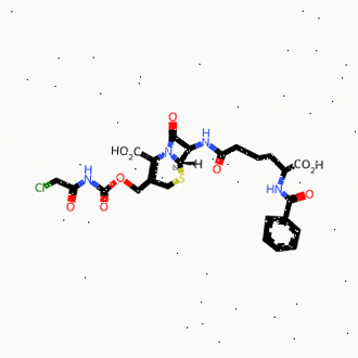 O=C(CCl)NC(=O)OCC1=C(C(=O)O)N2C(=O)C(NC(=O)CCCC(NC(=O)c3ccccc3)C(=O)O)[C@@H]2SC1